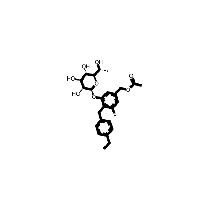 CCc1ccc(Cc2c(F)cc(COC(C)=O)cc2O[C@@H]2O[C@H]([C@@H](C)O)[C@@H](O)[C@H](O)[C@H]2O)cc1